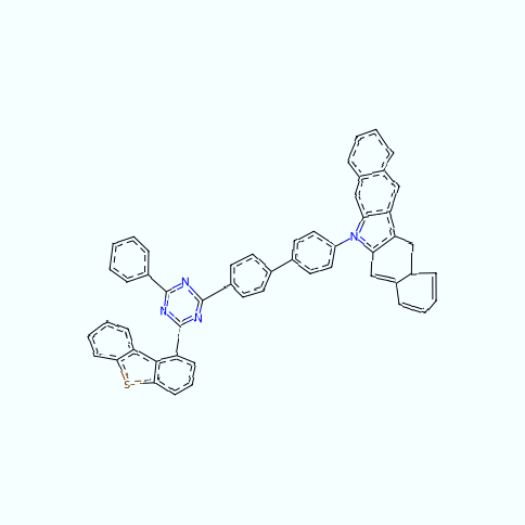 C1=CC2=Cc3c(c4cc5ccccc5cc4n3-c3ccc(-c4ccc(-c5nc(-c6ccccc6)nc(-c6cccc7sc8ccccc8c67)n5)cc4)cc3)CC2C=C1